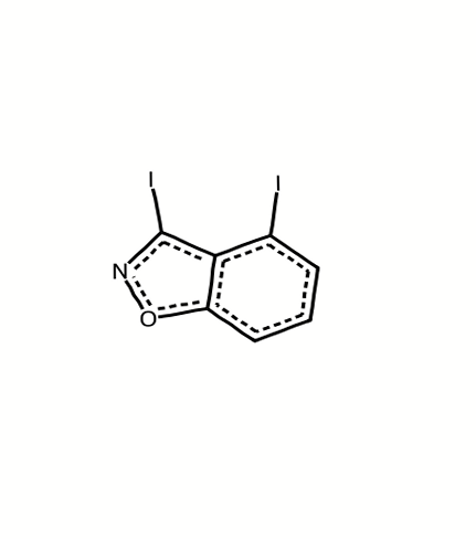 Ic1cccc2onc(I)c12